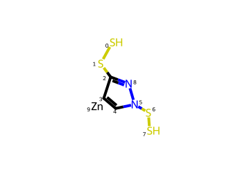 SSc1ccn(SS)n1.[Zn]